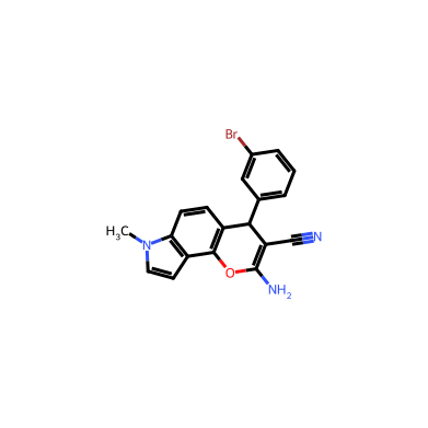 Cn1ccc2c3c(ccc21)C(c1cccc(Br)c1)C(C#N)=C(N)O3